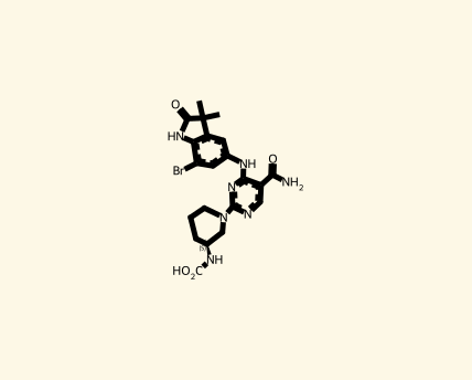 CC1(C)C(=O)Nc2c(Br)cc(Nc3nc(N4CCC[C@H](NC(=O)O)C4)ncc3C(N)=O)cc21